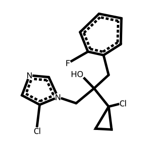 OC(Cc1ccccc1F)(Cn1cncc1Cl)C1(Cl)CC1